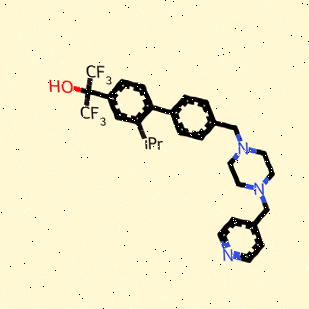 CC(C)c1cc(C(O)(C(F)(F)F)C(F)(F)F)ccc1-c1ccc(CN2CCN(Cc3ccncc3)CC2)cc1